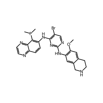 COc1cc2c(cc1Nc1ncc(Br)c(Nc3ccc4nccnc4c3P(C)C)n1)CNCC2